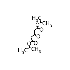 CC(C)OC(=O)CC(=O)CC(=O)OC(C)C